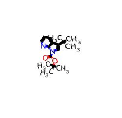 CC(C)(C)OC(=O)n1cc(C(C)(C)C)c2cccnc21